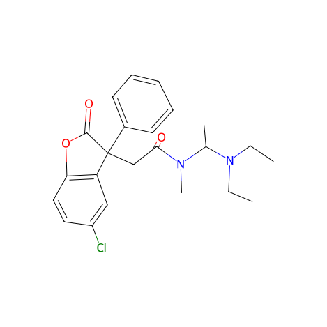 CCN(CC)C(C)N(C)C(=O)CC1(c2ccccc2)C(=O)Oc2ccc(Cl)cc21